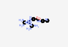 N[C@@H]1C[C@H](N)CN(c2nc(Nc3ccc(C(=O)CC(=O)Nc4ccc(-c5ccccn5)cc4)cc3)nc(N3C[C@H](N)C[C@H](N)C3)n2)C1